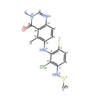 CCCSNc1ccc(F)c(Nc2ccc3ncn(C)c(=O)c3c2C)c1Cl